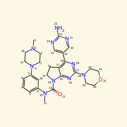 CN1CCN(c2cccc(N(C)C(=O)N3CCc4c(-c5cnc(N)nc5)nc(N5CCOCC5)nc43)c2)CC1